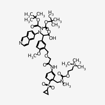 COc1ccc(C(C(=O)O)N(c2ccc3cnccc3c2)N(C(=O)OC(C)(C)C)C(=O)OC(C)(C)C)cc1COCC(=O)Nc1ccc(S(=O)(=O)C2CC2)c(CN(C)C(=O)OCC[Si](C)(C)C)c1